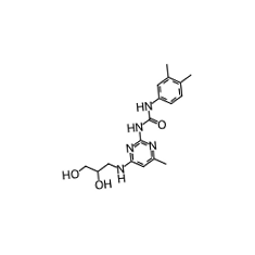 Cc1cc(NCC(O)CO)nc(NC(=O)Nc2ccc(C)c(C)c2)n1